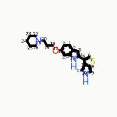 c1cc2cc(-c3csc4c[nH]cc34)[nH]c2cc1OCCCN1CCCCC1